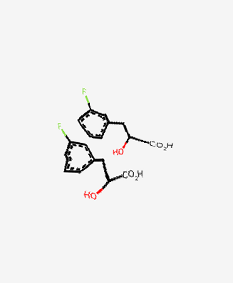 O=C(O)C(O)Cc1cccc(F)c1.O=C(O)C(O)Cc1cccc(F)c1